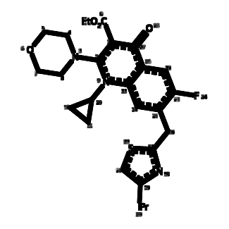 CCOC(=O)c1c(N2CCOCC2)n(C2CC2)c2cc(Cc3nc(C(C)C)cs3)c(F)cc2c1=O